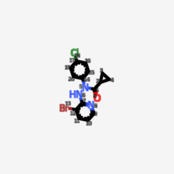 O=C(C1CC1)N(Nc1ncccc1Br)c1ccc(Cl)cc1